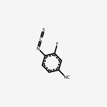 [C-]#[N+]c1ccc(N=C=S)c(F)c1